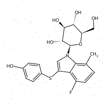 Cc1ccc(F)c2c(Sc3ccc(O)cc3)cn([C@@H]3O[C@H](CO)[C@@H](O)[C@H](O)[C@H]3O)c12